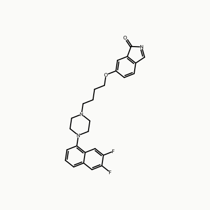 O=C1N=Cc2ccc(OCCCCN3CCN(c4cccc5cc(F)c(F)cc45)CC3)cc21